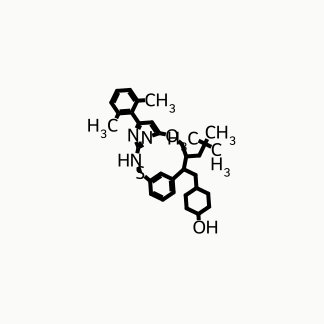 Cc1cccc(C)c1-c1cc2nc(n1)NSc1cccc(c1)C(CC1CCC(O)CC1)C(CC(C)(C)C)CO2